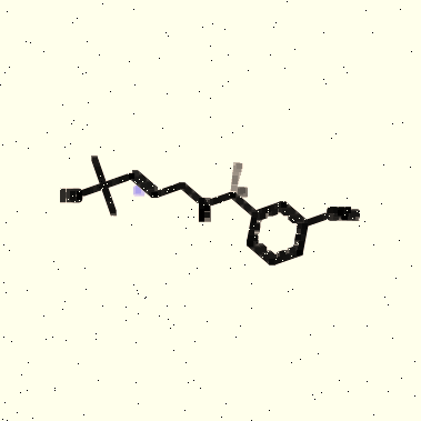 COc1cccc([C@@H](C)NC/C=C/C(C)(C)O)c1